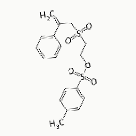 C=C(CS(=O)(=O)CCOS(=O)(=O)c1ccc(C)cc1)c1ccccc1